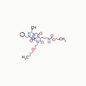 C#CCN1CC(=O)N2[C@@H](CCCNC(=O)OCC=C)C(=O)N(CCCOCCCC)C[C@@H]2N1C(=O)NCc1ccccc1